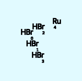 Br.Br.Br.Br.[Ru]